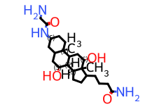 CC12C(CCCC(N)=O)CC[C@H]1[C@@H]1C(C[C@@H]2O)[C@@]2(C)CC[C@H](NC(=O)CN)CC2C[C@@H]1O